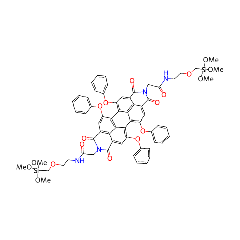 CO[Si](COCCNC(=O)CN1C(=O)c2cc(Oc3ccccc3)c3c4c(Oc5ccccc5)cc5c6c(cc(Oc7ccccc7)c(c7c(Oc8ccccc8)cc(c2c37)C1=O)c64)C(=O)N(CC(=O)NCCOC[Si](OC)(OC)OC)C5=O)(OC)OC